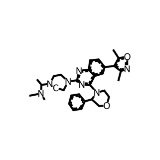 Cc1noc(C)c1-c1ccc2nc(N3CCN(C(C)N(C)C)CC3)nc(N3CCOCC3c3ccccc3)c2c1